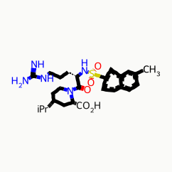 Cc1ccc2ccc(S(=O)(=O)N[C@@H](CCCNC(=N)N)C(=O)N3CCC(C(C)C)CC3C(=O)O)cc2c1